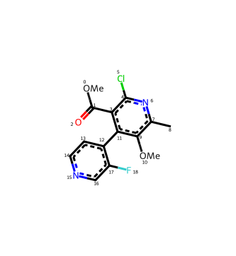 COC(=O)c1c(Cl)nc(C)c(OC)c1-c1ccncc1F